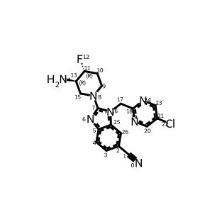 N#Cc1ccc2nc(N3CC[C@@H](F)[C@H](N)C3)n(Cc3ncc(Cl)cn3)c2c1